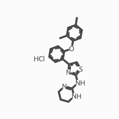 Cc1ccc(Oc2ccccc2-c2csc(NC3=NCCCN3)n2)c(C)c1.Cl